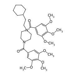 COc1cc(C(=O)N2CC[N+](CCC3CCCCC3)(C(=O)c3cc(OC)c(OC)c(OC)c3)CC2)cc(OC)c1OC